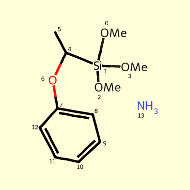 CO[Si](OC)(OC)C(C)Oc1ccccc1.N